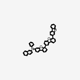 c1ccc(N(c2ccc3ccccc3c2)c2ccc3c(c2)oc2c(-c4ccc5oc6c(-c7ccc8c(c7)oc7ccccc78)cccc6c5c4)cccc23)cc1